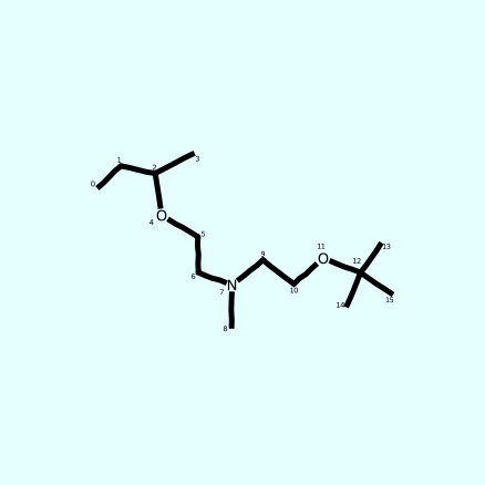 CCC(C)OCCN(C)CCOC(C)(C)C